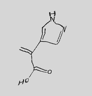 C=C(C(=O)O)c1cn[nH]c1